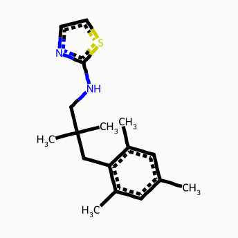 Cc1cc(C)c(CC(C)(C)CNc2nccs2)c(C)c1